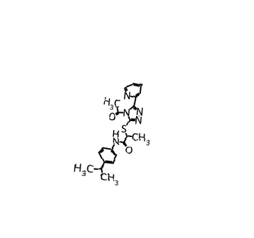 CC(=O)n1c(SC(C)C(=O)Nc2ccc(C(C)C)cc2)nnc1-c1ccccn1